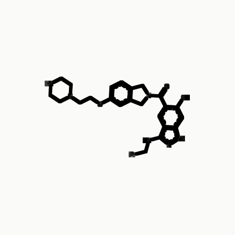 CC(C)CNc1n[nH]c2cc(O)c(C(=O)N3Cc4ccc(OCCN5CCNCC5)cc4C3)cc12